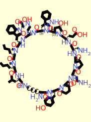 CCCC[C@H]1C(=O)N(C)[C@@H](CCCC)C(=O)N[C@@H](CC(C)C)C(=O)NCCC[C@@H](N)C(=O)N[C@@H](Cc2ccc(O)cc2)C(=O)N2CCCC[C@H]2C(=O)N[C@@H](CC(N)=O)C(=O)N2CCC[C@H]2C(=O)N[C@@H](CN)C(=O)N[C@@H](CCC(=O)O)C(=O)N2C[C@H](O)C[C@H]2C(=O)N[C@@H](Cc2c[nH]c3ccccc23)C(=O)N[C@@H](CCN)C(=O)N[C@@H](Cc2cn(CC(=O)O)c3ccccc23)C(=O)N1C